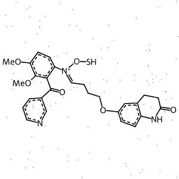 COc1ccc([N+](=CCCCOc2ccc3c(c2)CCC(=O)N3)OS)c(C(=O)c2cccnc2)c1OC